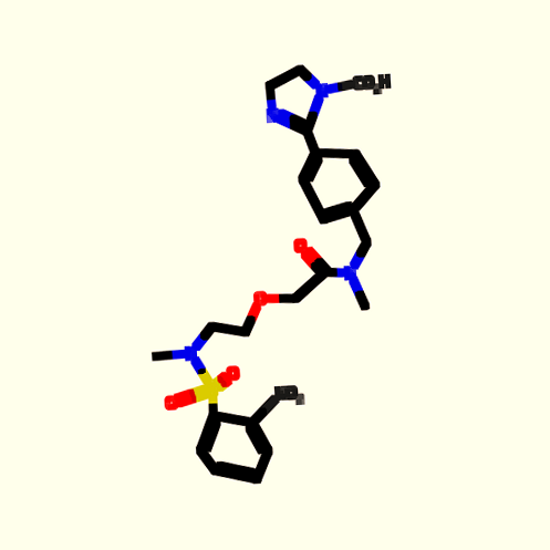 CN(Cc1ccc(C2=NCCN2C(=O)O)cc1)C(=O)COCCN(C)S(=O)(=O)c1ccccc1[N+](=O)[O-]